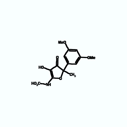 COc1cc(OC)cc(C2(C)OC(NC(=O)O)=C(O)C2=O)c1